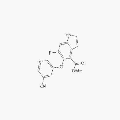 COC(=O)c1c(Oc2cccc(C#N)c2)c(F)cc2[nH]ccc12